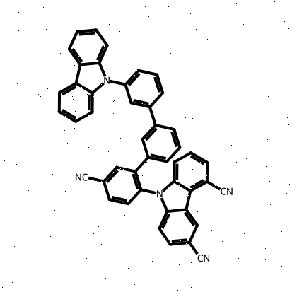 N#Cc1ccc(-n2c3ccc(C#N)cc3c3c(C#N)cccc32)c(-c2cccc(-c3cccc(-n4c5ccccc5c5ccccc54)c3)c2)c1